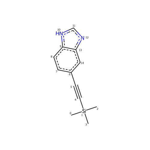 C[Si](C)(C)C#Cc1ccc2[nH]cnc2c1